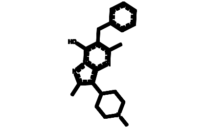 Cc1nc2c(C3CCN(C)CC3)c(C)nn2c(O)c1Cc1ccccc1